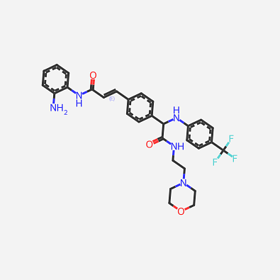 Nc1ccccc1NC(=O)/C=C/c1ccc(C(Nc2ccc(C(F)(F)F)cc2)C(=O)NCCN2CCOCC2)cc1